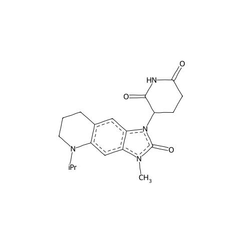 CC(C)N1CCCc2cc3c(cc21)n(C)c(=O)n3C1CCC(=O)NC1=O